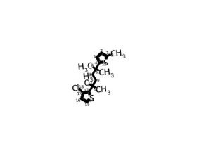 Cc1ccc(C(C)(C)CCC(C)(C)c2sccc2Cl)s1